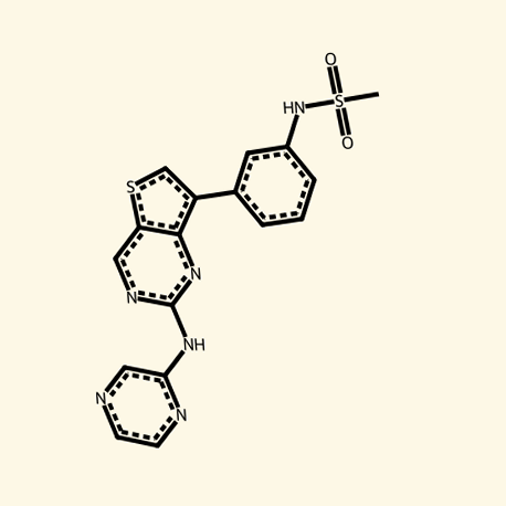 CS(=O)(=O)Nc1cccc(-c2csc3cnc(Nc4cnccn4)nc23)c1